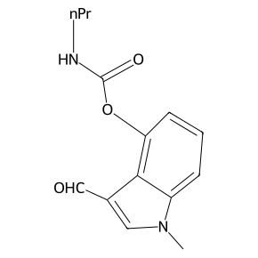 CCCNC(=O)Oc1cccc2c1c(C=O)cn2C